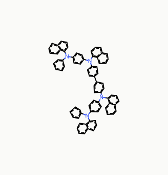 c1ccc(N(c2ccc(N(c3ccc(-c4ccc(N(c5ccc(N(c6ccccc6)c6cccc7ccccc67)cc5)c5cccc6ccccc56)cc4)cc3)c3cccc4ccccc34)cc2)c2cccc3ccccc23)cc1